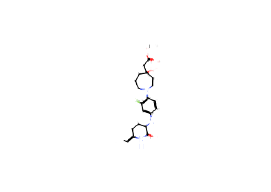 C/C=C1\CCC(Nc2ccc(N3CCCC(O)(CC(=O)OC(C)(C)C)CC3)c(F)c2)C(=O)N1